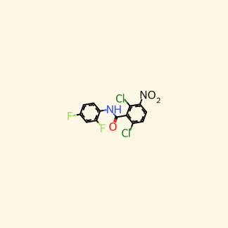 O=C(Nc1ccc(F)cc1F)c1c(Cl)ccc([N+](=O)[O-])c1Cl